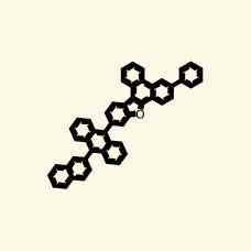 c1ccc(-c2ccc3c(c2)c2ccccc2c2c4ccc(-c5c6ccccc6c(-c6ccc7ccccc7c6)c6ccccc56)cc4oc32)cc1